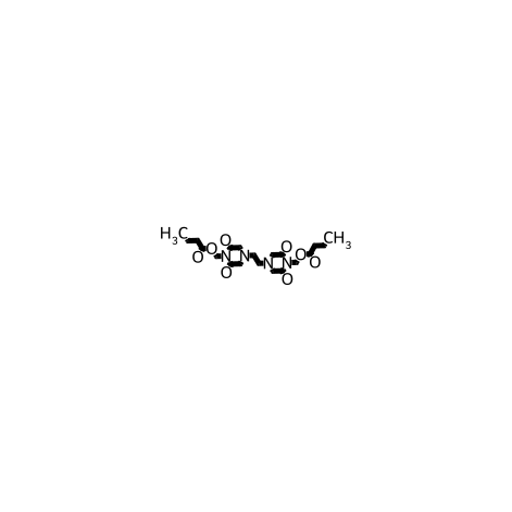 CCCC(=O)OCN1C(=O)CN(CCN2CC(=O)N(COC(=O)CCC)C(=O)C2)CC1=O